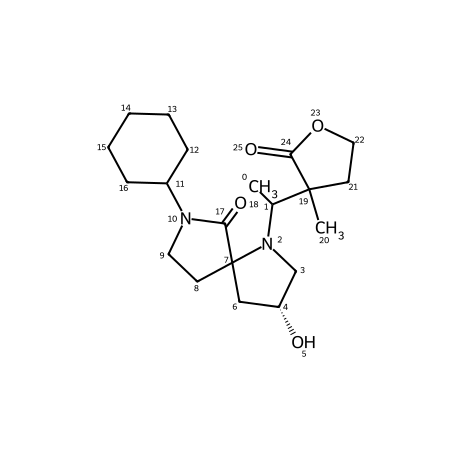 CC(N1C[C@H](O)CC12CCN(C1CCCCC1)C2=O)C1(C)CCOC1=O